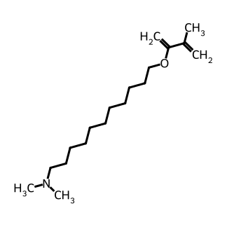 C=C(C)C(=C)OCCCCCCCCCCCN(C)C